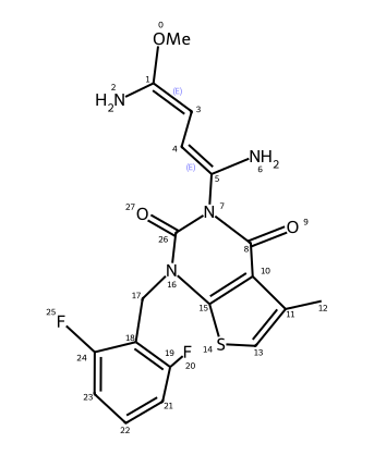 CO/C(N)=C/C=C(\N)n1c(=O)c2c(C)csc2n(Cc2c(F)cccc2F)c1=O